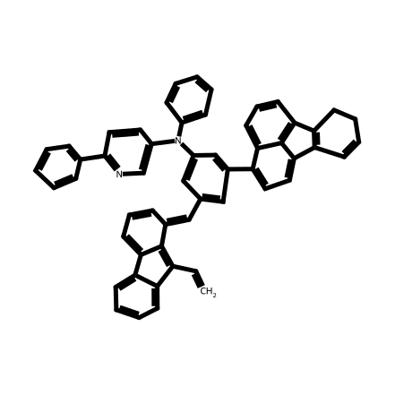 C=CC1=c2c(ccc/c2=C\c2cc(-c3ccc4c5c(cccc35)C3=C4C=CCC3)cc(N(c3ccccc3)c3ccc(-c4ccccc4)nc3)c2)-c2ccccc21